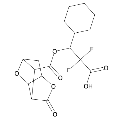 O=C(OC(C1CCCCC1)C(F)(F)C(=O)O)C1C2CC3OC(=O)C1C3O2